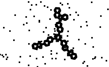 c1ccc2c(c1)ccc1c2c2ccccc2n1-c1ccc2cc(-c3nc(-c4ccc5cc(-c6nc7ccccc7o6)ccc5c4)nc(-c4ccc5cc(-c6nc7ccccc7o6)ccc5c4)n3)ccc2c1